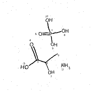 CC(O)C(=O)O.O=P(O)(O)O.[AlH3]